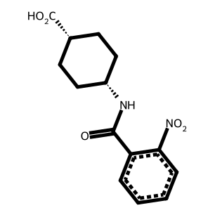 O=C(N[C@H]1CC[C@@H](C(=O)O)CC1)c1ccccc1[N+](=O)[O-]